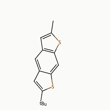 Cc1cc2cc3cc(C(C)(C)C)sc3cc2s1